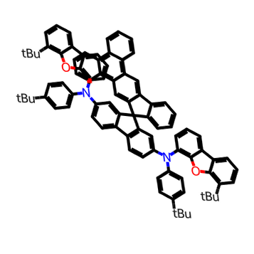 CC(C)(C)c1ccc(N(c2ccc3c(c2)C2(c4ccccc4-c4cc5c6ccccc6c6ccccc6c5cc42)c2cc(N(c4ccc(C(C)(C)C)cc4)c4cccc5c4oc4c(C(C)(C)C)cccc45)ccc2-3)c2cccc3c2oc2c(C(C)(C)C)cccc23)cc1